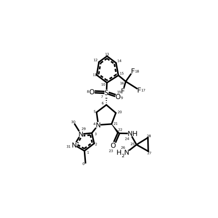 Cc1cc(N2C[C@H](S(=O)(=O)c3ccccc3C(F)(F)F)C[C@H]2C(=O)NC2(N)CC2)n(C)n1